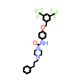 O=C(Nc1ccc(OCc2cc(C(F)(F)F)cc(C(F)(F)F)c2)cc1)N1CCN(CCCc2ccccc2)CC1